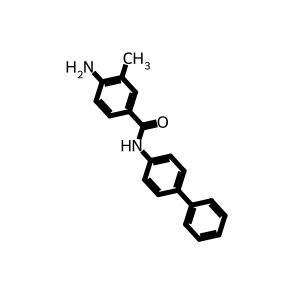 Cc1cc(C(=O)Nc2ccc(-c3ccccc3)cc2)ccc1N